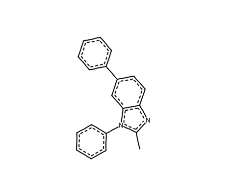 Cc1nc2ccc(-c3ccccc3)cc2n1-c1ccccc1